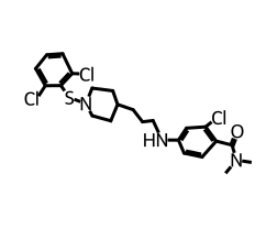 CN(C)C(=O)c1ccc(NCCCC2CCN(Sc3c(Cl)cccc3Cl)CC2)cc1Cl